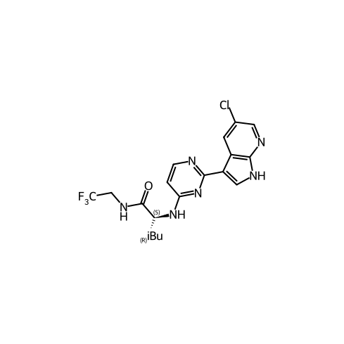 CC[C@@H](C)[C@H](Nc1ccnc(-c2c[nH]c3ncc(Cl)cc23)n1)C(=O)NCC(F)(F)F